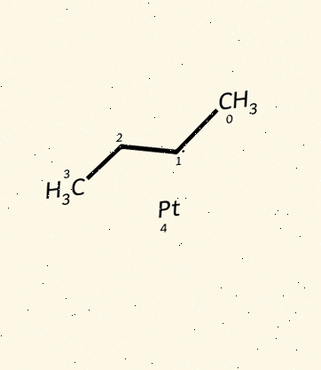 C[CH]CC.[Pt]